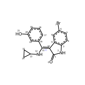 O=C1Nc2ccc(Br)cc2/C1=C(/NC1CC1)c1cccc(O)c1